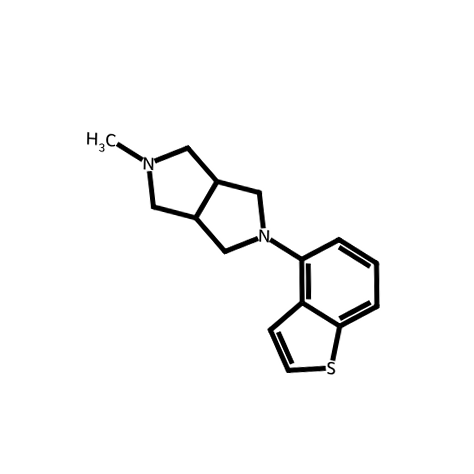 CN1CC2CN(c3cccc4sccc34)CC2C1